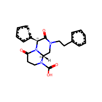 O=C1[C@H](c2ccccc2)N2C(=O)CCN(C(=O)O)[C@H]2CN1CCc1ccccc1